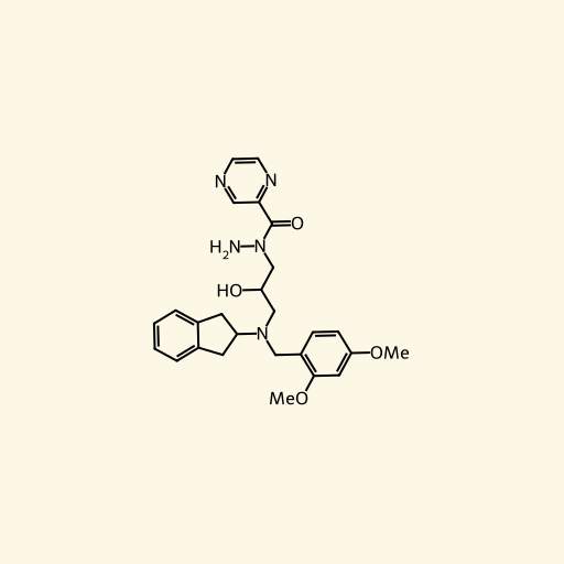 COc1ccc(CN(CC(O)CN(N)C(=O)c2cnccn2)C2Cc3ccccc3C2)c(OC)c1